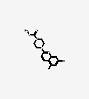 Cc1cc(Br)cc2nc(N3CCN(C(=O)OC(C)(C)C)CC3)ccc12